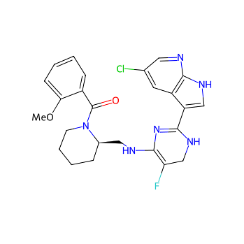 COc1ccccc1C(=O)N1CCCC[C@@H]1CNC1=C(F)CNC(c2c[nH]c3ncc(Cl)cc23)=N1